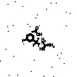 CC(=O)O.Fc1cccc(C(F)(F)F)c1.N=C(N)N